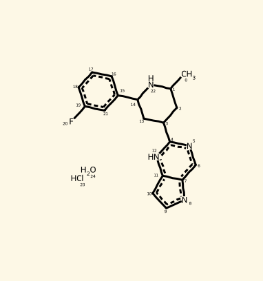 CC1CC(c2ncc3nccc-3[nH]2)CC(c2cccc(F)c2)N1.Cl.O